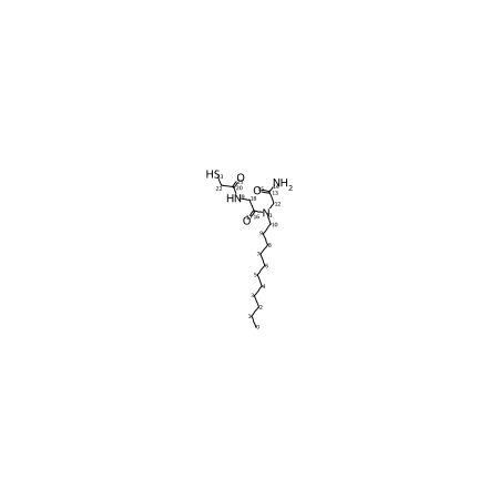 CCCCCCCCCCCN(CC(N)=O)C(=O)CNC(=O)CS